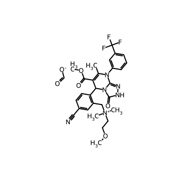 COCC[N+](C)(C)Cc1cc(C#N)ccc1C1C(C(=O)OC)=C(C)N(c2cccc(C(F)(F)F)c2)c2n[nH]c(=O)n21.O=C[O-]